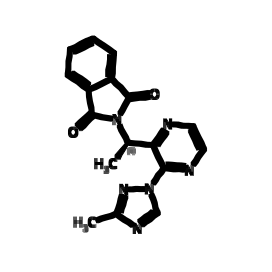 Cc1ncn(-c2nccnc2[C@@H](C)N2C(=O)c3ccccc3C2=O)n1